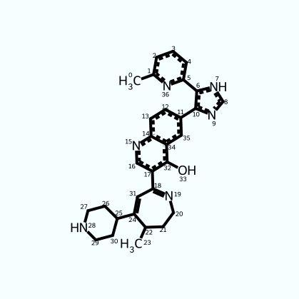 Cc1cccc(-c2[nH]cnc2-c2ccc3ncc(C4=NCCC(C)C(C5CCNCC5)=C4)c(O)c3c2)n1